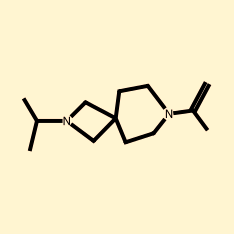 C=C(C)N1CCC2(CC1)CN(C(C)C)C2